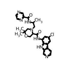 CC(CN1CC(C)(C)OCC1C(=O)Nc1cc(Cl)cc2c1[nH]c1cnccc12)NC(=O)c1cnccn1